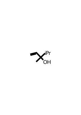 C=CC(C)(O)C(C)C